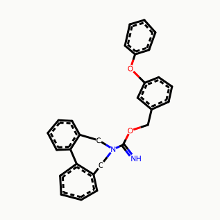 N=C(OCc1cccc(Oc2ccccc2)c1)N1Cc2ccccc2-c2ccccc2C1